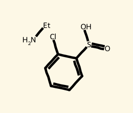 CCN.O=S(O)c1ccccc1Cl